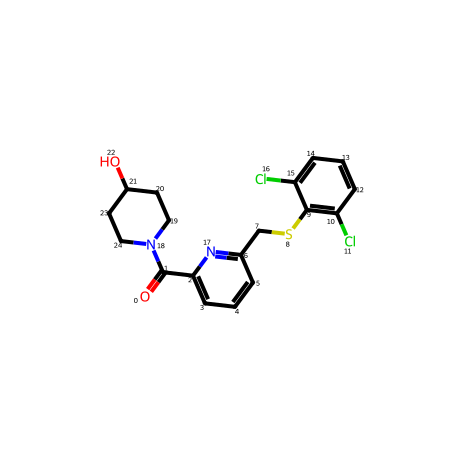 O=C(c1cccc(CSc2c(Cl)cccc2Cl)n1)N1CCC(O)CC1